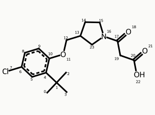 CC(C)(C)c1cc(Cl)ccc1OCC1CCN(C(=O)CC(=O)O)C1